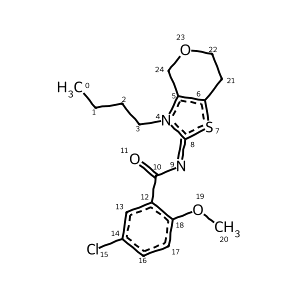 CCCCn1c2c(sc1=NC(=O)c1cc(Cl)ccc1OC)CCOC2